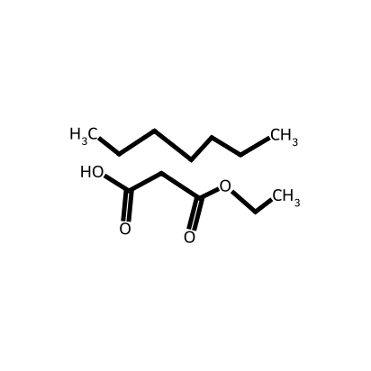 CCCCCCC.CCOC(=O)CC(=O)O